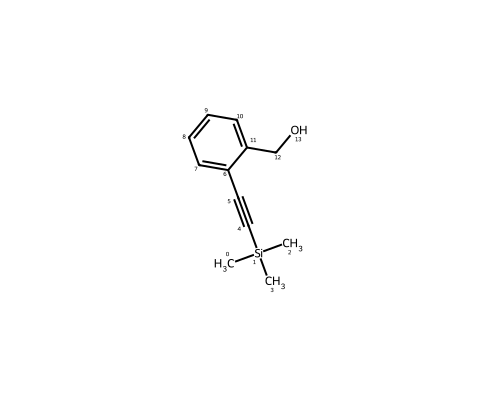 C[Si](C)(C)C#Cc1ccccc1CO